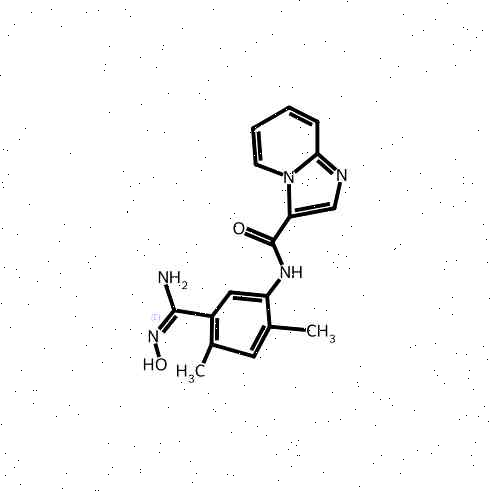 Cc1cc(C)c(/C(N)=N\O)cc1NC(=O)c1cnc2ccccn12